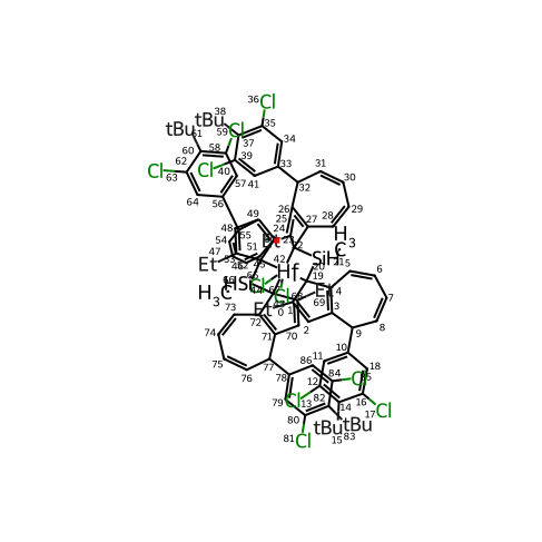 CCC1=CC2=C(C=CC=CC2c2cc(Cl)c(C(C)(C)C)c(Cl)c2)[C]12[SiH](C)[C]1(C(CC)=CC3=C1C=CC=CC3c1cc(Cl)c(C(C)(C)C)c(Cl)c1)[Hf]21([Cl])([Cl])[C]2(C(CC)=CC3=C2C=CC=CC3c2cc(Cl)c(C(C)(C)C)c(Cl)c2)[SiH](C)[C]12C(CC)=CC1=C2C=CC=CC1c1cc(Cl)c(C(C)(C)C)c(Cl)c1